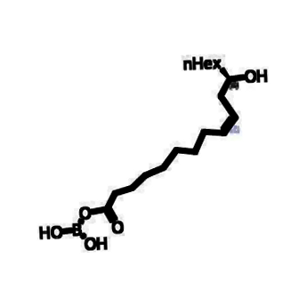 CCCCCC[C@@H](O)C/C=C\CCCCCCCC(=O)OB(O)O